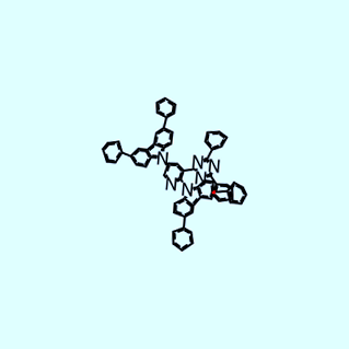 c1ccc(-c2ccc3c(c2)c2cc(-c4ccccc4)ccc2n3-c2cnc(-n3c4ccc(-c5ccccc5)cc4c4cc(-c5ccccc5)ccc43)c(-c3nc(-c4ccccc4)nc(-c4ccccc4)n3)c2)cc1